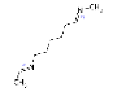 C/C=N/CCCCC/C=N/C